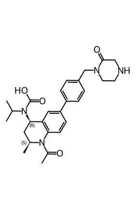 CC(=O)N1c2ccc(-c3ccc(CN4CCNCC4=O)cc3)cc2[C@H](N(C(=O)O)C(C)C)C[C@@H]1C